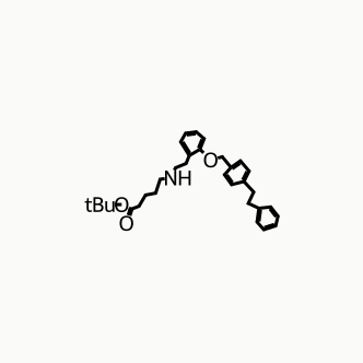 CC(C)(C)OC(=O)CCCCNCCc1ccccc1OCc1ccc(CCc2ccccc2)cc1